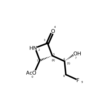 CC(=O)OC1NC(=O)[C@@H]1[C@H](O)CF